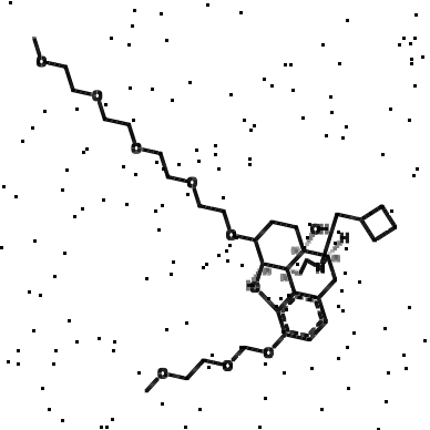 COCCOCCOCCOCCOC1CC[C@@]2(O)[C@H]3Cc4ccc(OCOCCOC)c5c4[C@@]2(CCN3CC2CCC2)[C@H]1O5